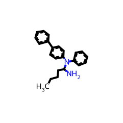 CCCCC(N)N(c1ccccc1)c1ccc(-c2ccccc2)cc1